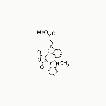 COC(=O)CCn1cc(C2=C(c3cn(C)c4ccccc34)C(=O)OC2=O)c2ccccc21